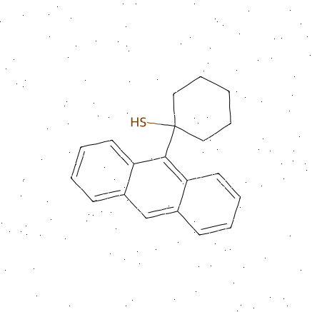 SC1(c2c3ccccc3cc3ccccc23)CCCCC1